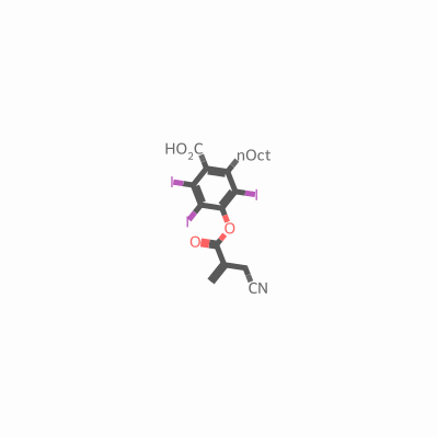 C=C(CC#N)C(=O)Oc1c(I)c(I)c(C(=O)O)c(CCCCCCCC)c1I